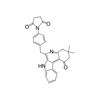 CC1(C)CC(=O)c2c(nc(Cc3ccc(N4C(=O)CCC4=O)cc3)c3[nH]c4ccccc4c23)C1